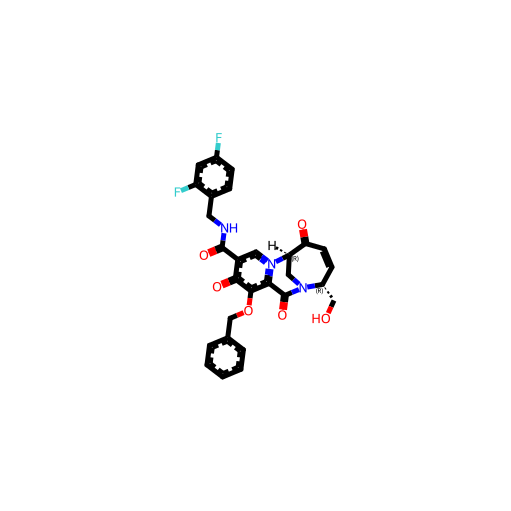 O=C(NCc1ccc(F)cc1F)c1cn2c(c(OCc3ccccc3)c1=O)C(=O)N1C[C@@H]2C(=O)C=C[C@@H]1CO